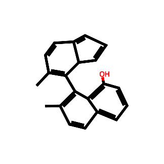 CC1=C(c2c(C)ccc3cccc(O)c23)C2C=CC=C2C=C1